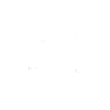 CC1=C(O)C(=O)C=NC1